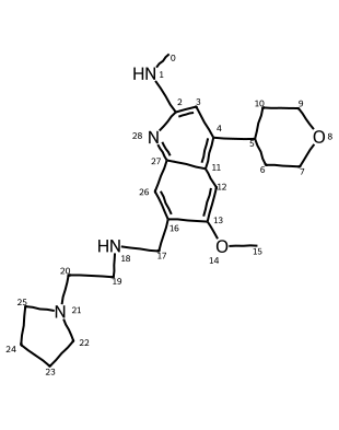 CNc1cc(C2CCOCC2)c2cc(OC)c(CNCCN3CCCC3)cc2n1